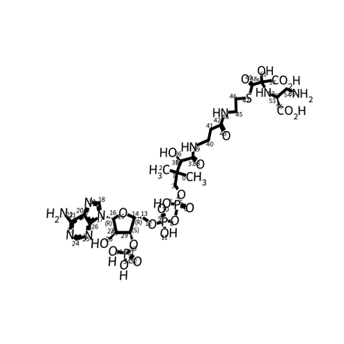 CC(C)(COP(=O)(O)OP(=O)(O)OC[C@H]1O[C@@H](n2cnc3c(N)ncnc32)[C@H](O)[C@@H]1OP(=O)(O)O)[C@@H](O)C(=O)NCCC(=O)NCCSC(=O)C(O)(N[C@@H](CN)C(=O)O)C(=O)O